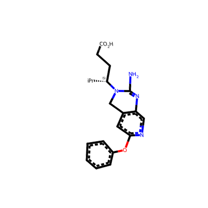 CC(C)[C@H](CCC(=O)O)N1Cc2cc(Oc3ccccc3)ncc2N=C1N